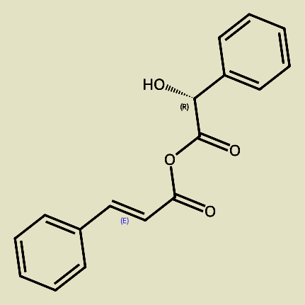 O=C(/C=C/c1ccccc1)OC(=O)[C@H](O)c1ccccc1